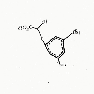 CCOC(=O)C(O)Cc1cc(C(C)(C)C)cc(C(C)(C)C)c1